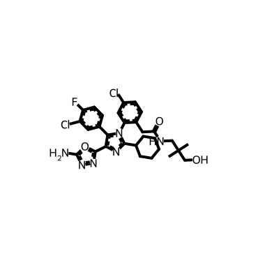 CC(C)(CO)CNC(=O)Cc1ccc(Cl)cc1-n1c(C2CCCCC2)nc(-c2nnc(N)o2)c1-c1ccc(F)c(Cl)c1